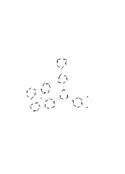 CC1(C)CCC(C)(C)c2cc(-c3nc(-c4ccc(-c5ccccc5)cc4)nc(-c4cccc5c4-c4ccccc4C5(c4ccccc4)c4ccccc4)n3)ccc21